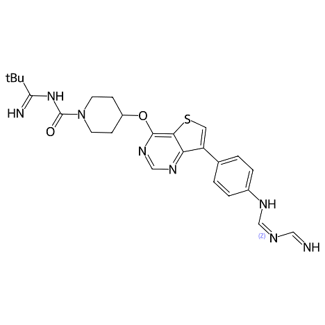 CC(C)(C)C(=N)NC(=O)N1CCC(Oc2ncnc3c(-c4ccc(N/C=N\C=N)cc4)csc23)CC1